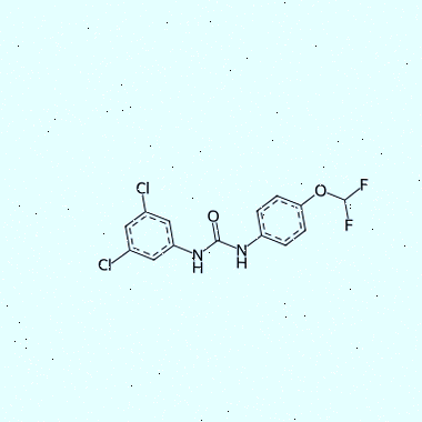 O=C(Nc1ccc(OC(F)F)cc1)Nc1cc(Cl)cc(Cl)c1